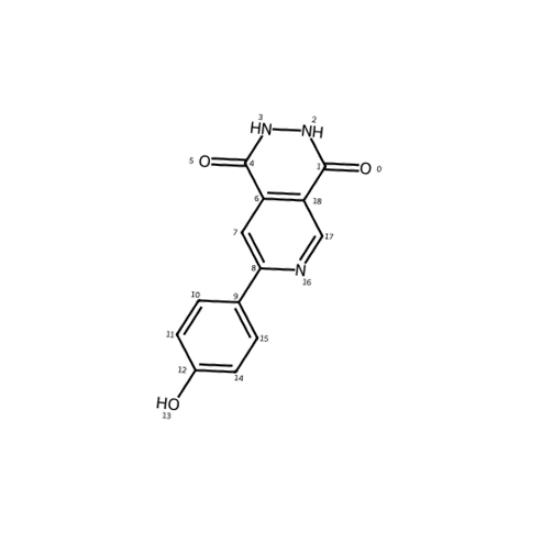 O=c1[nH][nH]c(=O)c2cc(-c3ccc(O)cc3)ncc12